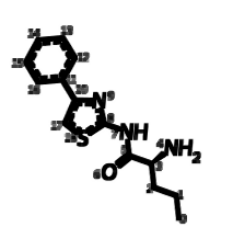 CCC[C@H](N)C(=O)Nc1nc(-c2ccccc2)cs1